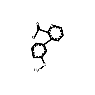 COc1cccc(-c2cccnc2C(=O)Cl)c1